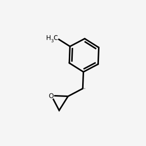 Cc1cccc([CH]C2CO2)c1